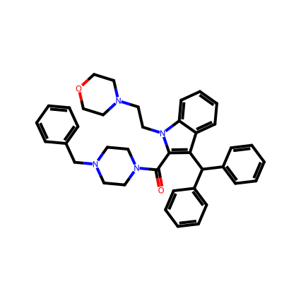 O=C(c1c(C(c2ccccc2)c2ccccc2)c2ccccc2n1CCN1CCOCC1)N1CCN(Cc2ccccc2)CC1